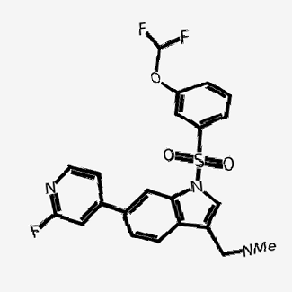 CNCc1cn(S(=O)(=O)c2cccc(OC(F)F)c2)c2cc(-c3ccnc(F)c3)ccc12